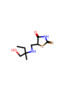 CCC(C)(CO)NCC1SC(=S)NC1=O